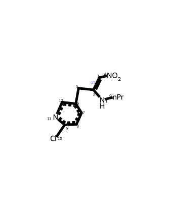 CCCN/C(=C\[N+](=O)[O-])Cc1ccc(Cl)nc1